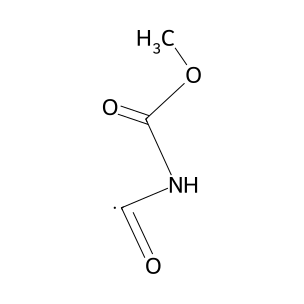 COC(=O)N[C]=O